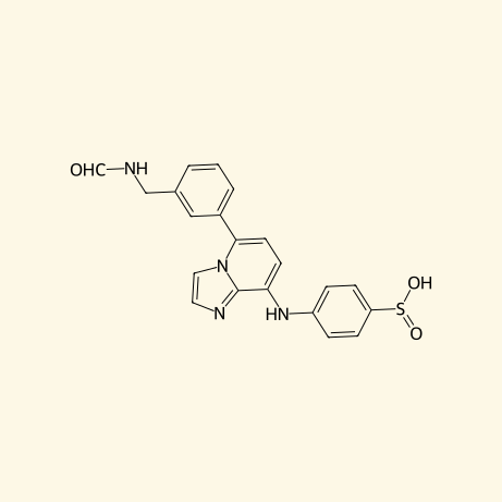 O=CNCc1cccc(-c2ccc(Nc3ccc(S(=O)O)cc3)c3nccn23)c1